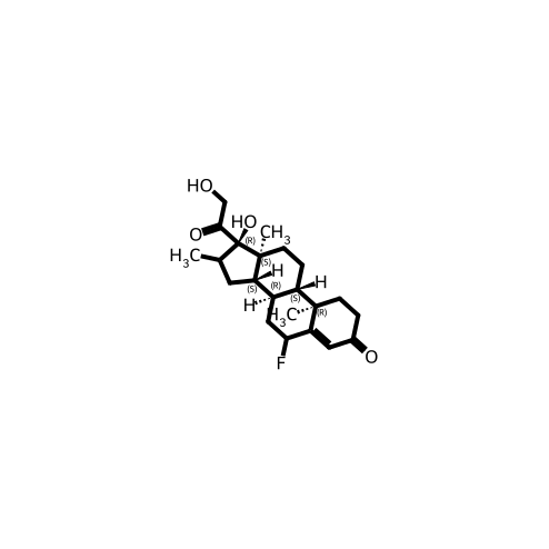 CC1C[C@H]2[C@@H]3CC(F)C4=CC(=O)CC[C@]4(C)[C@H]3CC[C@]2(C)[C@@]1(O)C(=O)CO